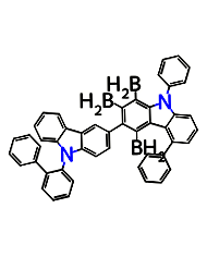 Bc1c(-c2ccc3c(c2)c2ccccc2n3-c2ccccc2-c2ccccc2)c(B)c2c3c(-c4ccccc4)cccc3n(-c3ccccc3)c2c1B